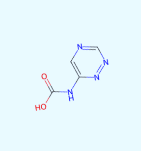 O=C(O)Nc1cncnn1